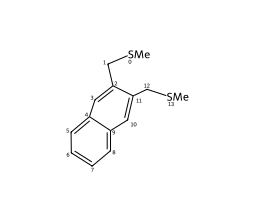 CSCc1cc2ccccc2cc1CSC